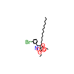 CCCCCCCCCCCCCCC1C(c2cccc(Br)c2)=NOC1(C(=O)OCC)C(=O)OCC